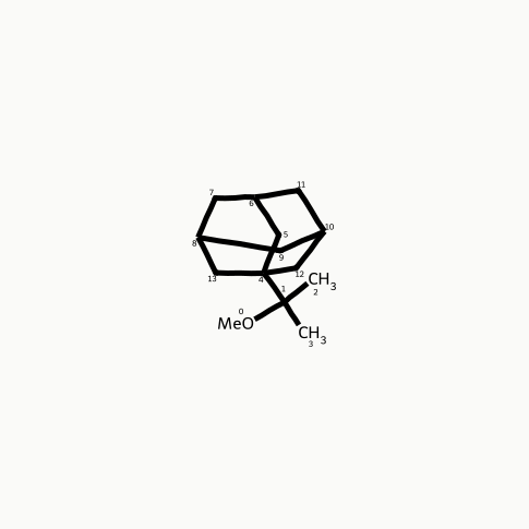 COC(C)(C)C12CC3CC(CC(C3)C1)C2